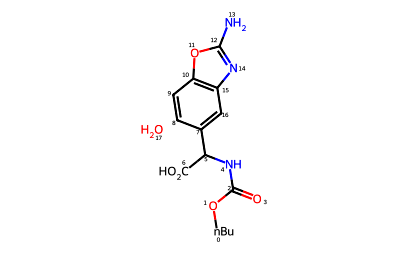 CCCCOC(=O)NC(C(=O)O)c1ccc2oc(N)nc2c1.O